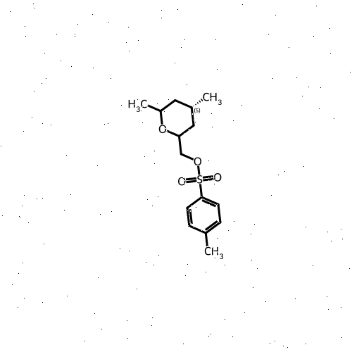 Cc1ccc(S(=O)(=O)OCC2C[C@@H](C)CC(C)O2)cc1